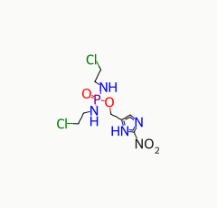 O=[N+]([O-])c1ncc(COP(=O)(NCCCl)NCCCl)[nH]1